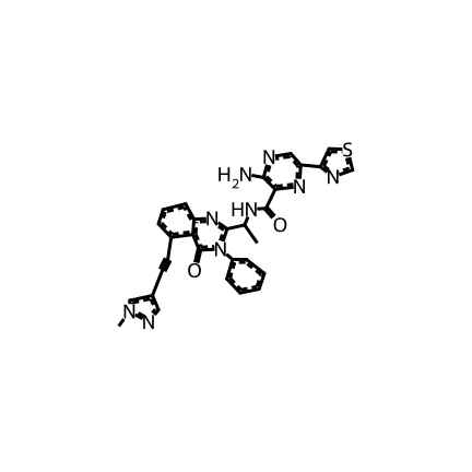 CC(NC(=O)c1nc(-c2cscn2)cnc1N)c1nc2cccc(C#Cc3cnn(C)c3)c2c(=O)n1-c1ccccc1